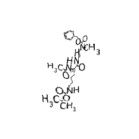 CC(=O)N[C@@H](CCCCNC(=O)OC(C)C)C(=O)NCCN(C)C(=O)OCc1ccccc1